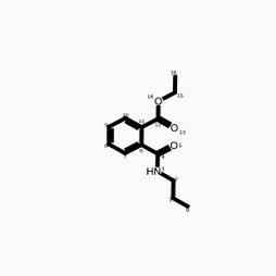 CCCNC(=O)c1ccccc1C(=O)OCC